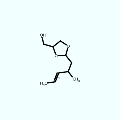 C/C=C/C(C)CC1OCC(CO)O1